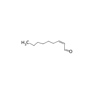 CCCCCC/C=C\C=O